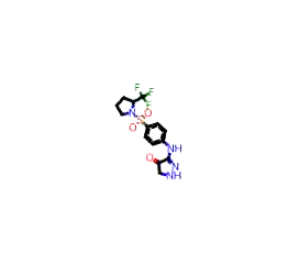 O=C1CNN=C1Nc1ccc(S(=O)(=O)N2CCCC2C(F)(F)F)cc1